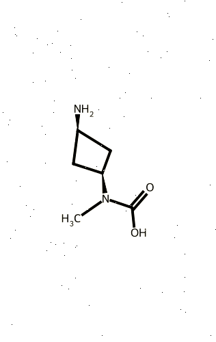 CN(C(=O)O)[C@H]1C[C@@H](N)C1